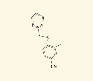 Cc1cc(C#N)ccc1SCc1ccccc1